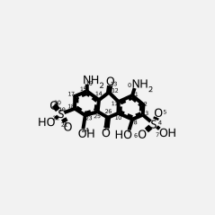 Nc1cc(S(=O)(=O)O)c(O)c2c1C(=O)c1c(N)cc(S(=O)(=O)O)c(O)c1C2=O